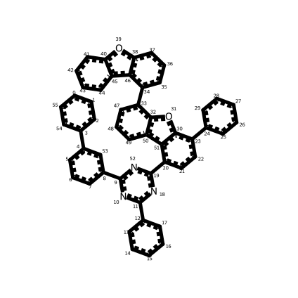 c1ccc(-c2cccc(-c3nc(-c4ccccc4)nc(-c4ccc(-c5ccccc5)c5oc6c(-c7cccc8oc9ccccc9c78)cccc6c45)n3)c2)cc1